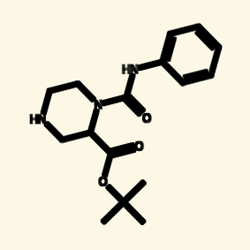 CC(C)(C)OC(=O)C1CNCCN1C(=O)Nc1[c]cccc1